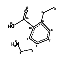 CCN.CCc1ccccc1C(=O)O